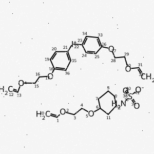 C=COCCOC1CCCCC1.C=COCCOc1ccc([I+]c2ccc(OCCOC=C)cc2)cc1.NS(=O)(=O)[O-]